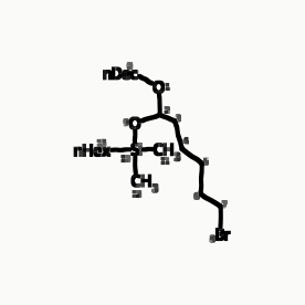 CCCCCCCCCCOC(CCCCCBr)O[Si](C)(C)CCCCCC